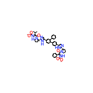 COC(=O)N[C@H](C(=O)N1CCC[C@H]1c1ncc(-c2ccc(-c3ccc(-c4cnc([C@@H]5CCCN5C(=O)[C@H](NC(=O)OC)c5ccccc5)[nH]4)cc3)c(-c3ccccc3)c2)[nH]1)C(C)C